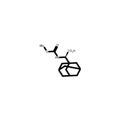 CC(C)(C)OC(=O)N[C@@H](C(=O)O)C12CC3CC(CC(C3)C1)C2